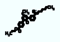 CCCCCCC[S+]([O-])c1cccc(-c2cn(CC)cc(-c3ccc(C(=O)OCCC)cc3)c2=O)c1